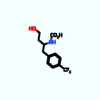 O=C(O)NC(CCO)Cc1ccc(C(F)(F)F)cc1